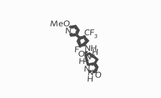 COc1ccc(-c2cc(F)c(NC(=O)N3[C@H]4CC[C@@H]3c3n[nH]c(=O)cc3C4)cc2C(F)(F)F)cn1